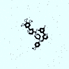 COc1ccc(N(Cc2ccnc(-c3cc(F)cc(F)c3)c2)C2CCN(Cc3ccnc(-c4cc(OC)c(OC)c(OC)c4)c3)CC2)cc1